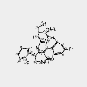 Cc1cc(F)ccc1-c1nc(NC(CO)C(O)O)nc2c1C(=O)NCN2c1ccccc1F